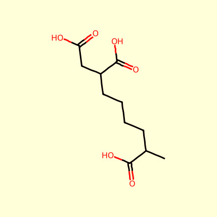 CC(CCCCC(CC(=O)O)C(=O)O)C(=O)O